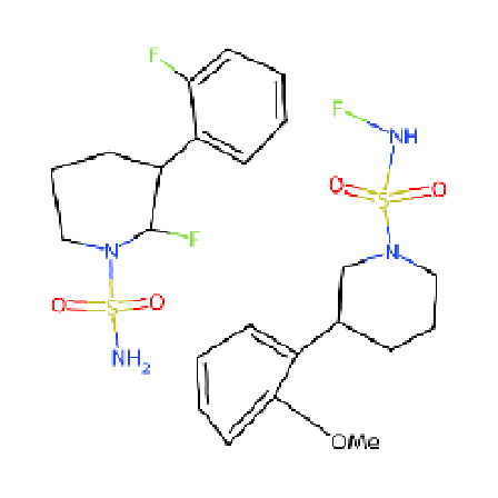 COc1ccccc1C1CCCN(S(=O)(=O)NF)C1.NS(=O)(=O)N1CCCC(c2ccccc2F)C1F